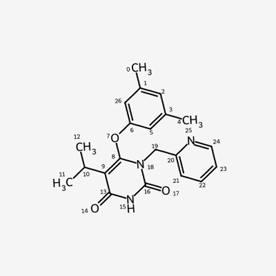 Cc1cc(C)cc(Oc2c(C(C)C)c(=O)[nH]c(=O)n2Cc2ccccn2)c1